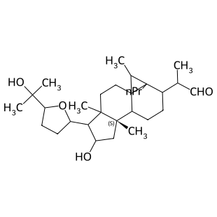 CCCC12C(C(C)C=O)CCC3C1(CCC1(C)C(C4CCC(C(C)(C)O)O4)C(O)C[C@@]31C)C2C